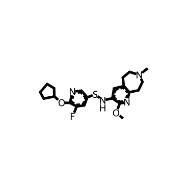 COc1nc2c(cc1NSc1cnc(OC3CCCC3)c(F)c1)CCN(C)CC2